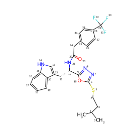 CC(C)CCSc1nnc([C@H](Cc2c[nH]c3ccccc23)NC(=O)Cc2ccc(C(F)(F)F)cc2)o1